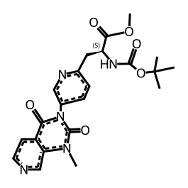 COC(=O)[C@H](Cc1ccc(-n2c(=O)c3ccncc3n(C)c2=O)cn1)NC(=O)OC(C)(C)C